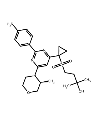 C[C@H]1COCCN1c1cc(C2(S(=O)(=O)CCC(C)(C)O)CC2)nc(-c2ccc(N)cc2)n1